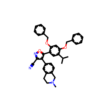 CC(C)c1cc(-c2onc(C#N)c2-c2ccc3c(c2)CCN(C)C3)c(OCc2ccccc2)cc1OCc1ccccc1